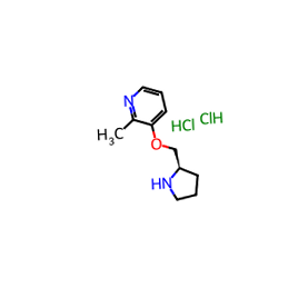 Cc1ncccc1OC[C@H]1CCCN1.Cl.Cl